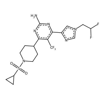 Nc1nc(-c2cn(CC(F)F)cn2)c(C(F)(F)F)c(C2CCN(S(=O)(=O)C3CC3)CC2)n1